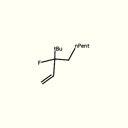 C=CC(F)(CCCCCC)C(C)(C)C